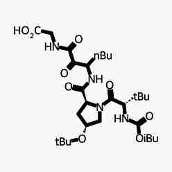 CCCCC(NC(=O)[C@@H]1C[C@@H](OC(C)(C)C)CN1C(=O)[C@@H](NC(=O)OCC(C)C)C(C)(C)C)C(=O)C(=O)NCC(=O)O